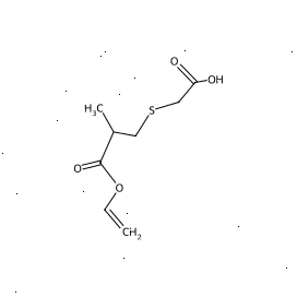 C=COC(=O)C(C)CSCC(=O)O